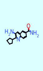 NC(=O)c1ccc2nc(C3CCCC3)c(N)cc2c1